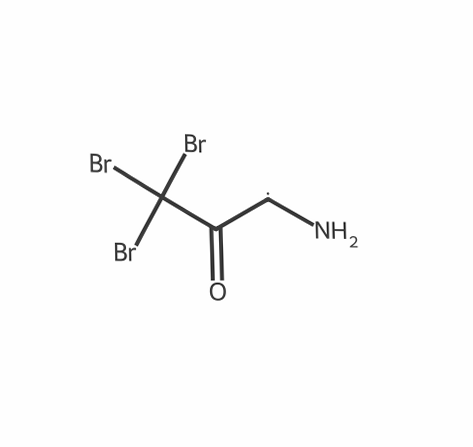 N[CH]C(=O)C(Br)(Br)Br